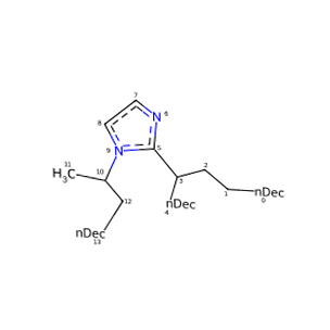 CCCCCCCCCCCCC(CCCCCCCCCC)c1nccn1C(C)CCCCCCCCCCC